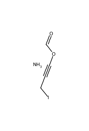 N.O=COC#CCI